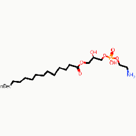 CCCCCCCCCCCCCCCCCCCCCC(=O)OC[C@@H](O)COP(=O)(O)OCCN